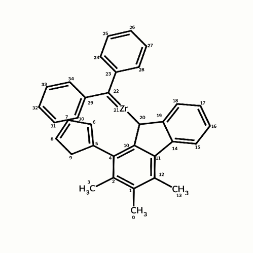 Cc1c(C)c(C2=CC=CC2)c2c(c1C)-c1ccccc1[CH]2[Zr]=[C](c1ccccc1)c1ccccc1